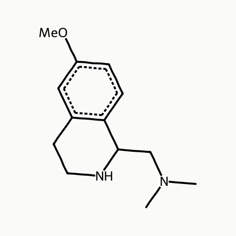 COc1ccc2c(c1)CCNC2CN(C)C